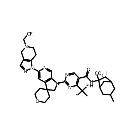 CC1CC2CC(C1)C(NC(=O)c1cnc(N3CC4(CCOCC4)c4cc(-n5ncc6c5CCN(CC(F)(F)F)C6)ncc43)nc1C(C)(F)F)(C(=O)O)C2